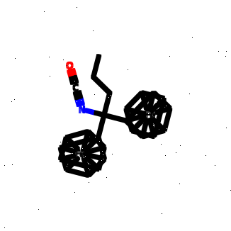 CCCC(N=C=O)([C]12[CH]3[CH]4[CH]5[CH]1[Fe]45321678[CH]2[CH]1[CH]6[CH]7[CH]28)[C]12[CH]3[CH]4[CH]5[CH]1[Fe]45321678[CH]2[CH]1[CH]6[CH]7[CH]28